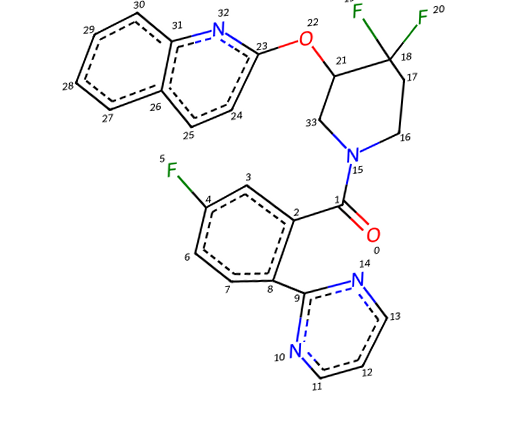 O=C(c1cc(F)ccc1-c1ncccn1)N1CCC(F)(F)C(Oc2ccc3ccccc3n2)C1